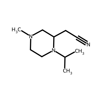 CC(C)N1CCN(C)CC1CC#N